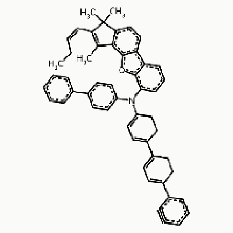 CC/C=C\C1=C(C)c2c(ccc3c2oc2c(N(C4=CC=C(C5=CC=C(c6c#cccc6)CC5)CC4)c4ccc(-c5ccccc5)cc4)cccc23)C1(C)C